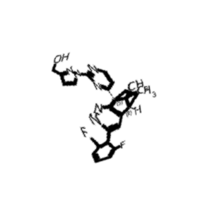 CC1(C)[C@H]2CC[C@]1(c1ccnc(-n3ccc(CO)n3)n1)c1nnc(-c3c(F)cccc3F)cc12